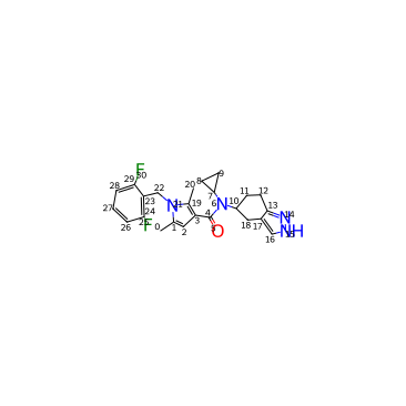 Cc1cc(C(=O)N(C2CC2)C2CCc3n[nH]cc3C2)c(C)n1Cc1c(F)cccc1F